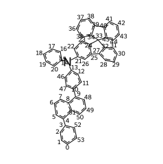 c1ccc(-c2cccc3c(-c4ccc(N(c5ccccc5)c5ccc6c(c5)-c5ccccc5C65c6ccccc6-c6ccccc65)cc4)cccc23)cc1